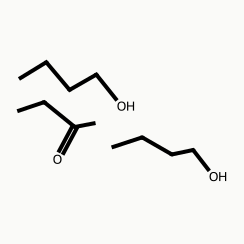 CCC(C)=O.CCCCO.CCCCO